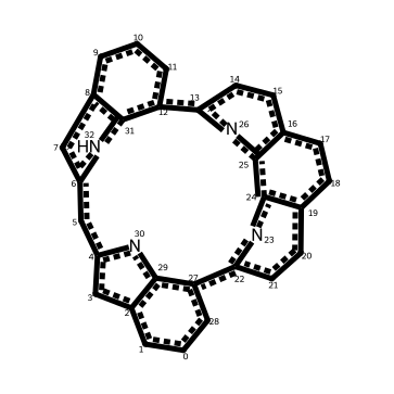 c1cc2cc3cc4cc5cccc(c6ccc7ccc8ccc(nc8c7n6)c(c1)c2n3)c5[nH]4